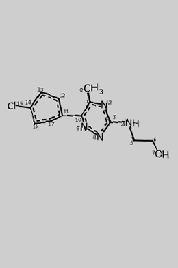 Cc1nc(NCCO)nnc1-c1ccc(Cl)cc1